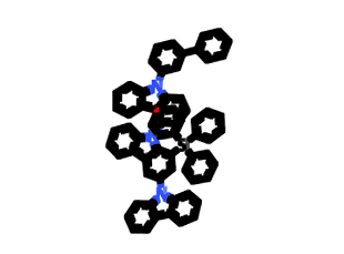 c1ccc(-c2cccc(-n3c4ccccc4c4c(-n5c6ccccc6c6cc(-n7c8ccccc8c8ccccc87)cc([Si](c7ccccc7)(c7ccccc7)c7ccccc7)c65)cccc43)c2)cc1